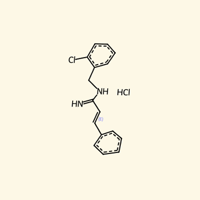 Cl.N=C(/C=C/c1ccccc1)NCc1ccccc1Cl